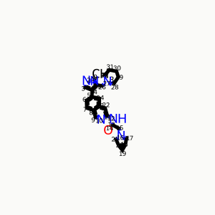 Cn1ncc(-c2ccc3cnc(NC(=O)CN4CC5CC5C4)cc3c2)c1CN1CCCCC1